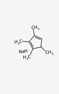 C[C]1C=C(C)C(C)=C1C.[NaH]